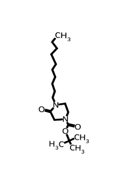 CCCCCCCCCCN1CCN(C(=O)OC(C)(C)C)CC1=O